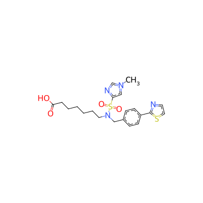 Cn1cnc(S(=O)(=O)N(CCCCCCC(=O)O)Cc2ccc(-c3nccs3)cc2)c1